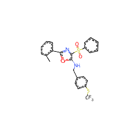 Cc1ccccc1-c1nc(S(=O)(=O)c2ccccc2)c(NCc2ccc(SC(F)(F)F)cc2)o1